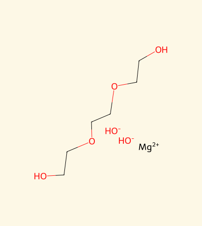 OCCOCCOCCO.[Mg+2].[OH-].[OH-]